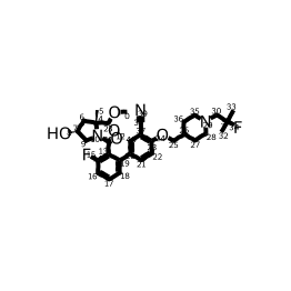 COC(=O)[C@@]1(C)C[C@@H](O)CN1C(=O)c1c(F)cccc1-c1ccc(OCC2CCN(CC(C)(C)F)CC2)c(C#N)c1